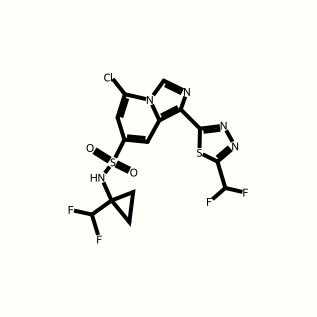 O=S(=O)(NC1(C(F)F)CC1)c1cc(Cl)n2cnc(-c3nnc(C(F)F)s3)c2c1